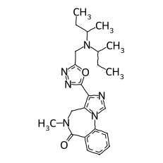 CCC(C)N(Cc1nnc(-c2ncn3c2CN(C)C(=O)c2ccccc2-3)o1)C(C)CC